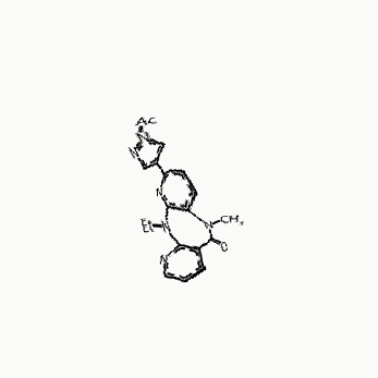 CCN1c2ncccc2C(=O)N(C)c2ccc(-c3cnn(C(C)=O)c3)nc21